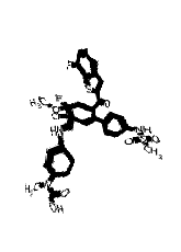 COC1(F)C=C(C(=O)c2cc3cccc(F)c3s2)C(c2ccc(NS(C)(=O)=O)cc2)=CC1(Cl)CNC1CCC(N(C)C(=O)O)CC1